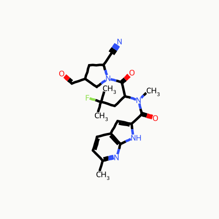 Cc1ccc2cc(C(=O)N(C)C(CC(C)(C)F)C(=O)N3CC(C=O)CC3C#N)[nH]c2n1